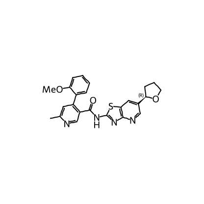 COc1ccccc1-c1cc(C)ncc1C(=O)Nc1nc2ncc([C@H]3CCCO3)cc2s1